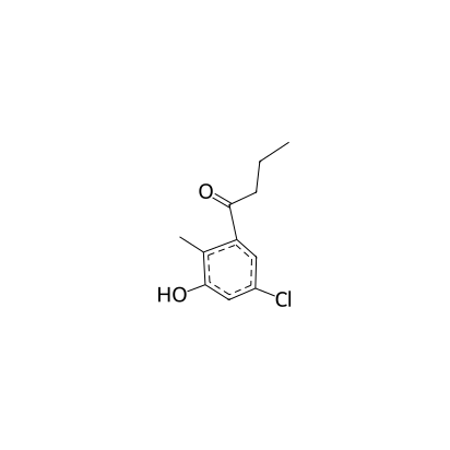 CCCC(=O)c1cc(Cl)cc(O)c1C